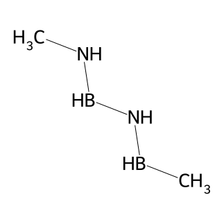 CBNBNC